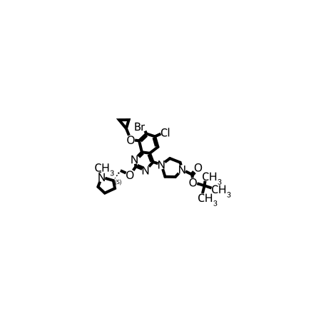 CN1CCC[C@H]1COc1nc(N2CCN(C(=O)OC(C)(C)C)CC2)c2cc(Cl)c(Br)c(OC3CC3)c2n1